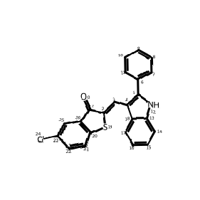 O=C1C(=Cc2c(-c3ccccc3)[nH]c3ccccc23)Sc2ccc(Cl)cc21